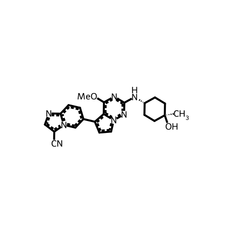 COc1nc(N[C@H]2CC[C@](C)(O)CC2)nn2ccc(-c3ccc4ncc(C#N)n4c3)c12